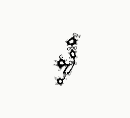 O=S(=O)(c1ccc(O)cc1)c1ccc(CCCN(Cc2ccccc2)C[C@H](O)c2cccc(Cl)c2)cc1